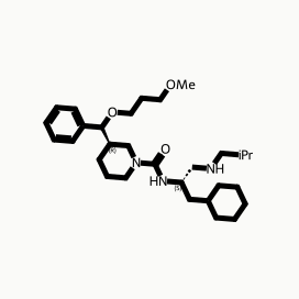 COCCCOC(c1ccccc1)[C@@H]1CCCN(C(=O)N[C@H](CNCC(C)C)CC2CCCCC2)C1